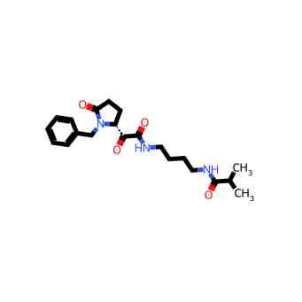 CC(C)C(=O)NCCCCNC(=O)C(=O)[C@H]1CCC(=O)N1Cc1ccccc1